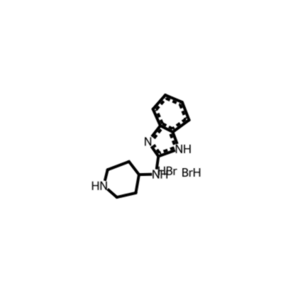 Br.Br.c1ccc2[nH]c(NC3CCNCC3)nc2c1